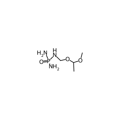 COC(C)OCNP(N)(N)=O